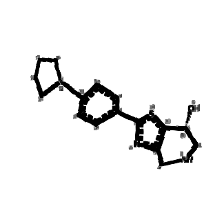 O[C@@H]1CNCc2nc(-c3ccc(N4CCCC4)cc3)sc21